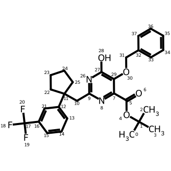 CC(C)(C)OC(=O)c1nc(CC2(c3cccc(C(F)(F)F)c3)CCCC2)nc(O)c1OCc1ccccc1